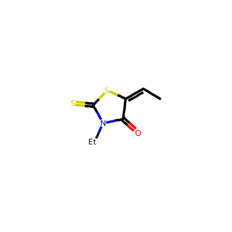 CC=C1SC(=S)N(CC)C1=O